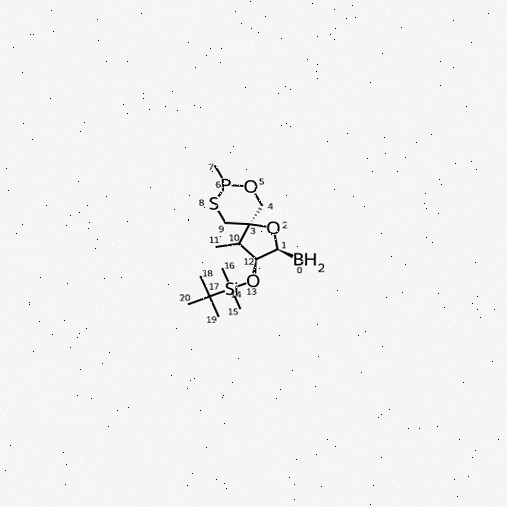 B[C@@H]1O[C@@]2(COP(C)SC2)C(C)[C@@H]1O[Si](C)(C)C(C)(C)C